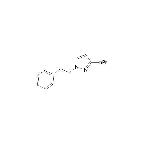 CCCc1ccn(CCc2ccccc2)n1